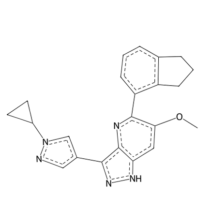 COc1cc2[nH]nc(-c3cnn(C4CC4)c3)c2nc1-c1cccc2c1CCC2